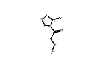 CC(=O)[C@@H]1CCCN1C(=O)CCC(C)C